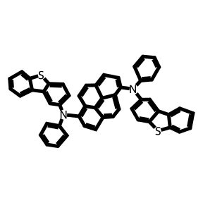 c1ccc(N(c2ccc3sc4ccccc4c3c2)c2ccc3ccc4c(N(c5ccccc5)c5ccc6sc7ccccc7c6c5)ccc5ccc2c3c54)cc1